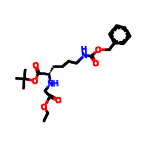 CCOC(=O)CN[C@@H](CCCCNC(=O)OCc1ccccc1)C(=O)OC(C)(C)C